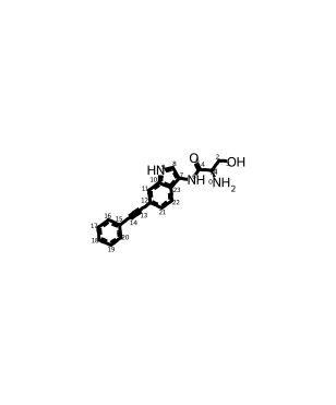 N[C@H](CO)C(=O)Nc1c[nH]c2cc(C#Cc3ccccc3)ccc12